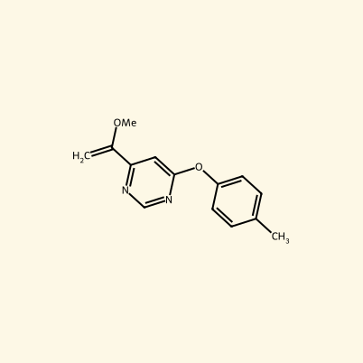 C=C(OC)c1cc(Oc2ccc(C)cc2)ncn1